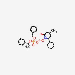 Cc1cc(C2CCCCC2)n(OCOP(=O)(OCc2ccccc2)OC(C)c2ccccc2)c(=O)c1